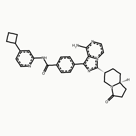 Nc1nccn2c([C@@H]3CC[C@H]4CCC(=O)N4C3)nc(-c3ccc(C(=O)Nc4cc(C5CCC5)ccn4)cc3)c12